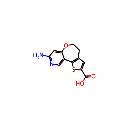 Nc1cc2c(cn1)-c1sc(C(=O)O)cc1CCO2